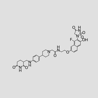 O=C(CN1CCC(c2ccc(NCC3CCC(=O)NC3=O)cc2)CC1)NCCOc1ccc2cc(O)c(N3CC(=O)NS3(=O)=O)c(F)c2c1